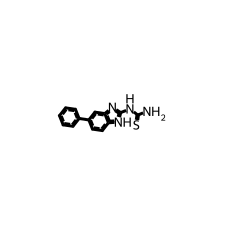 NC(=S)Nc1nc2cc(-c3ccccc3)ccc2[nH]1